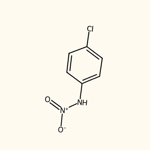 O=[N+]([O-])Nc1ccc(Cl)cc1